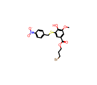 COc1cc(C(=O)OCCCBr)cc(SCc2ccc([N+](=O)[O-])cc2)c1O